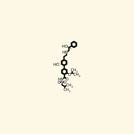 CC(C)CS(=O)(=O)NC(=O)c1ccc(-c2ccc(CCNC[C@@H](O)c3ccccc3)cc2)cc1OC(C)C.Cl